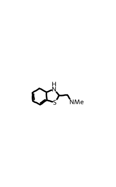 CNCC1NC2CC=CC=C2S1